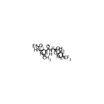 CCC(=O)Nc1cc(C(=O)NC[C@@H](C)Oc2ncc(C(F)(F)F)cc2Cl)cc(C)n1